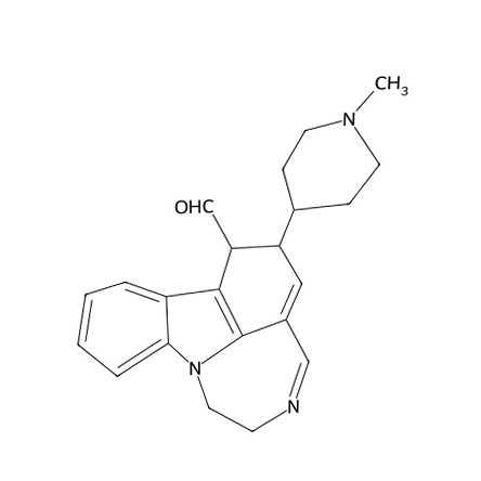 CN1CCC(C2C=C3C=NCCn4c3c(c3ccccc34)C2C=O)CC1